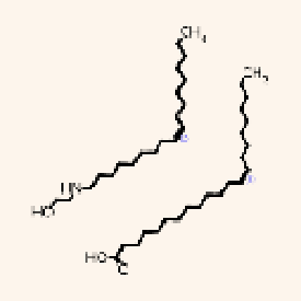 CCCCCCCC/C=C\CCCCCCCCCCCC(=O)O.CCCCCCCC/C=C\CCCCCCCCNCCO